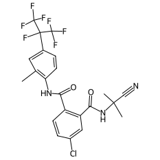 Cc1cc(C(F)(C(F)(F)F)C(F)(F)F)ccc1NC(=O)c1ccc(Cl)cc1C(=O)NC(C)(C)C#N